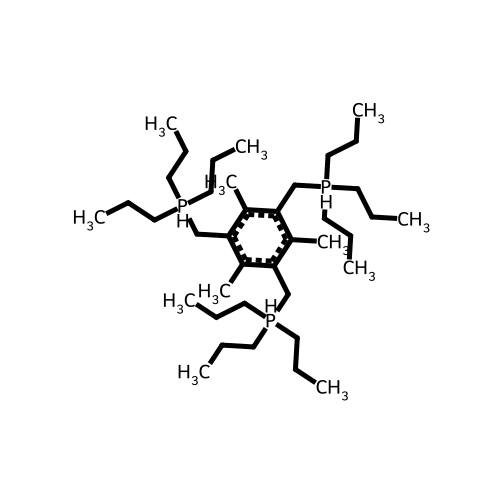 CCC[PH](CCC)(CCC)Cc1c(C)c(C[PH](CCC)(CCC)CCC)c(C)c(C[PH](CCC)(CCC)CCC)c1C